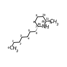 CCCCCCC[C@@H]1CCC[C@@H](C)N1